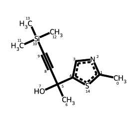 Cc1ncc(C(C)(O)C#C[Si](C)(C)C)s1